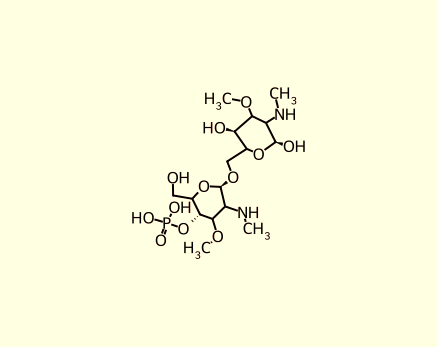 CNC1C(OC)[C@H](OP(=O)(O)O)C(CO)O[C@H]1OCC1O[C@H](O)C(NC)C(OC)[C@@H]1O